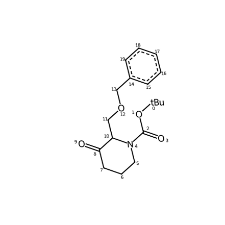 CC(C)(C)OC(=O)N1CCCC(=O)C1COCc1ccccc1